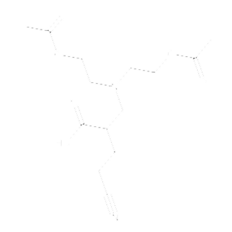 CC(=O)OCCN(CCOC(C)=O)CC(CCC#N)C(=O)O